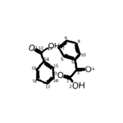 O=C(O)C(=O)c1ccccc1.O=C(O)c1ccccc1